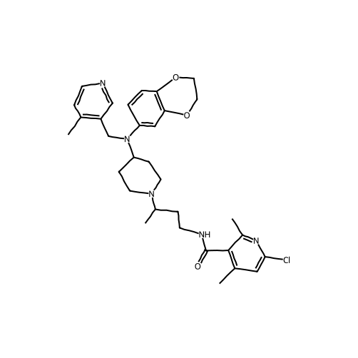 Cc1ccncc1CN(c1ccc2c(c1)OCCO2)C1CCN(C(C)CCNC(=O)c2c(C)cc(Cl)nc2C)CC1